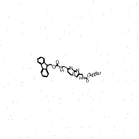 CC(C)(C)OC(=O)NCc1cn2ccc(CNC(=O)OCC3c4ccccc4-c4ccccc43)nc2n1